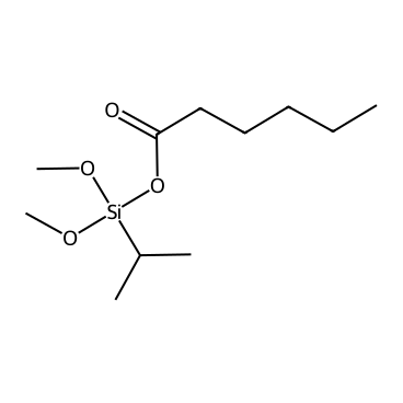 CCCCCC(=O)O[Si](OC)(OC)C(C)C